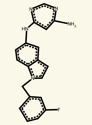 Nc1cc(Nc2ccc3c(ccn3Cc3cccc(F)c3)c2)ncn1